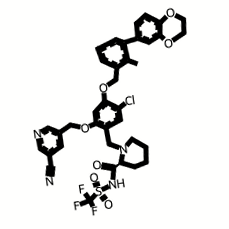 Cc1c(COc2cc(OCc3cncc(C#N)c3)c(CN3CCCC[C@H]3C(=O)NS(=O)(=O)C(F)(F)F)cc2Cl)cccc1-c1ccc2c(c1)OCCO2